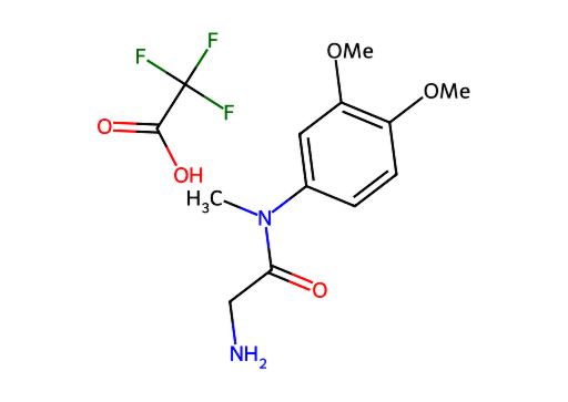 COc1ccc(N(C)C(=O)CN)cc1OC.O=C(O)C(F)(F)F